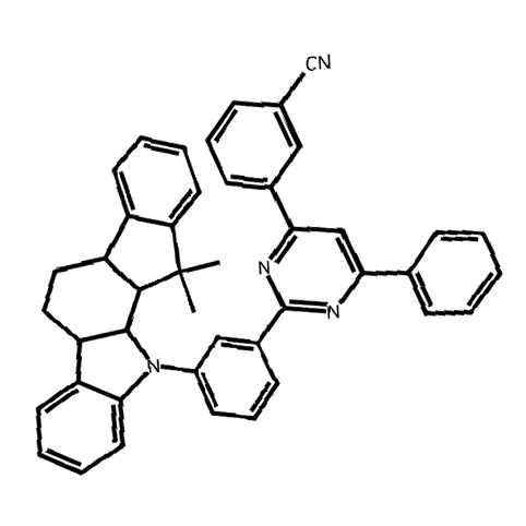 CC1(C)c2ccccc2C2CCC3c4ccccc4N(c4cccc(-c5nc(-c6ccccc6)cc(-c6cccc(C#N)c6)n5)c4)C3C21